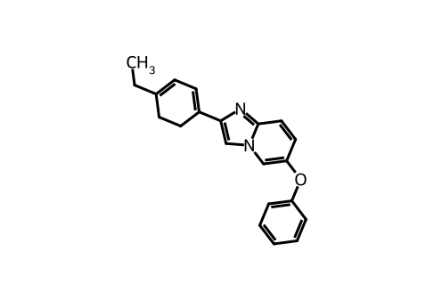 CCC1=CC=C(c2cn3cc(Oc4ccccc4)ccc3n2)CC1